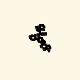 CN1CC[C@H](N2Cc3cc(NC(O)c4cnn5cccnc45)c(N4CCOCC4)cc3C2=O)C1=O